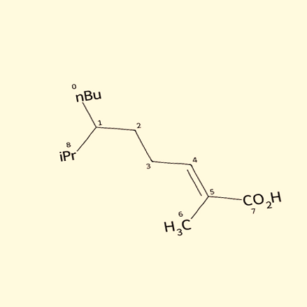 CCCCC(CCC=C(C)C(=O)O)C(C)C